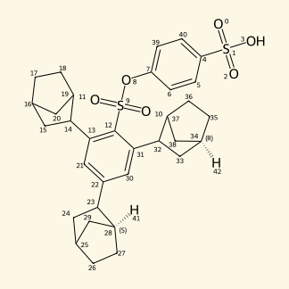 O=S(=O)(O)c1ccc(OS(=O)(=O)c2c(C3CC4CCC3C4)cc(C3CC4CC[C@H]3C4)cc2C2C[C@@H]3CCC2C3)cc1